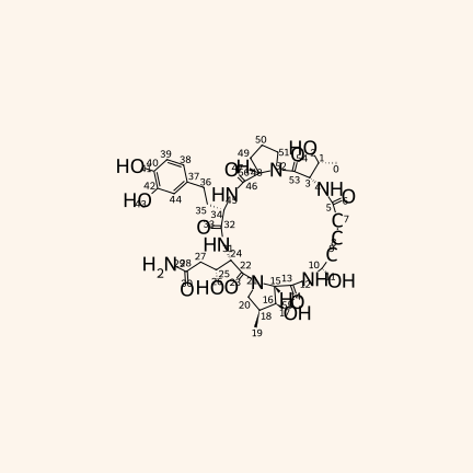 C[C@@H](O)[C@@H]1NC(=O)CCC[C@H](O)NC(=O)[C@@H]2[C@@H](O)[C@@H](C)CN2C(=O)[C@H]([C@H](O)CC(N)=O)NC(=O)[C@H](CCc2ccc(O)c(O)c2)NC(=O)[C@@H]2CCCN2C1=O